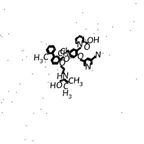 Cc1ccccc1C1=CC=CC(COc2cc(OCc3cncc(C#N)c3)c(CN3CCCC[C@H]3C(=O)O)cc2Cl)(OCCCNC(CO)C(C)C)C1C